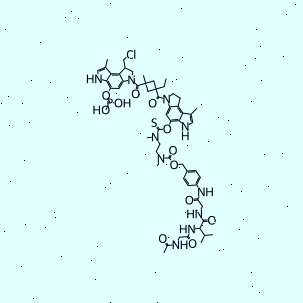 CCC1(C(=O)N2CCc3c2cc(OC(=S)N(C)CCN(C)C(=O)OCc2ccc(NC(=O)CNC(=O)C(NC(=O)CNC(C)=O)C(C)C)cc2)c2[nH]cc(C)c32)CC(C)(C(=O)N2CC(CCl)c3c2cc(OP(O)O)c2[nH]cc(C)c32)C1